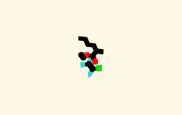 C=C.C=C(CCCC)C(=O)O.FC(F)=C(F)Cl